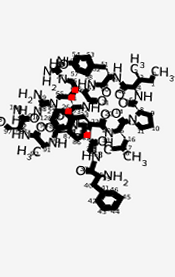 CC[C@H](C)[C@H](NC(=O)[C@@H]1CCCN1C(=O)[C@H](CC(C)C)NC(=O)[C@H](Cc1ccccc1)NC(=O)CNC(=O)[C@@H](N)Cc1ccccc1)C(=O)N[C@@H](Cc1ccc(O)cc1)C(=O)N[C@@H](CCCN=C(N)N)C(=O)N[C@@H](CCCN=C(N)N)C(=O)N1CCC[C@H]1C(=O)N[C@@H](C)C(=O)N[C@@H](CO)C(N)=O